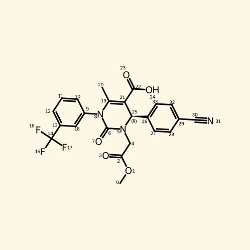 COC(=O)CN1C(=O)N(c2cccc(C(F)(F)F)c2)C(C)=C(C(=O)O)[C@H]1c1ccc(C#N)cc1